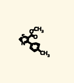 COC(=O)c1scnc1-c1ccc(C)cc1